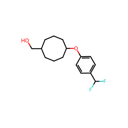 OCC1CCCC(Oc2ccc(C(F)F)cc2)CCC1